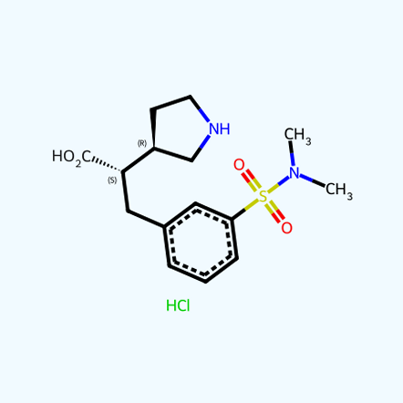 CN(C)S(=O)(=O)c1cccc(C[C@H](C(=O)O)[C@H]2CCNC2)c1.Cl